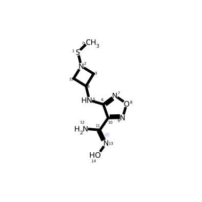 CSN1CC(Nc2nonc2/C(N)=N/O)C1